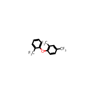 FC(F)(F)c1ccc(Oc2cc[c]cc2C(F)(F)F)c(C(F)(F)F)c1